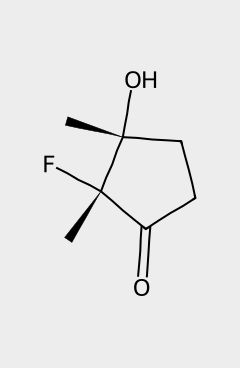 C[C@]1(F)C(=O)CC[C@@]1(C)O